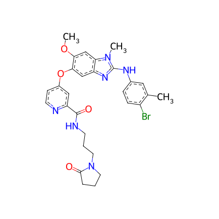 COc1cc2c(cc1Oc1ccnc(C(=O)NCCCN3CCCC3=O)c1)nc(Nc1ccc(Br)c(C)c1)n2C